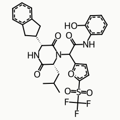 CC(C)C[C@@H]1C(=O)N[C@H](C2Cc3ccccc3C2)C(=O)N1C(C(=O)Nc1ccccc1O)c1ccc(S(=O)(=O)C(F)(F)F)o1